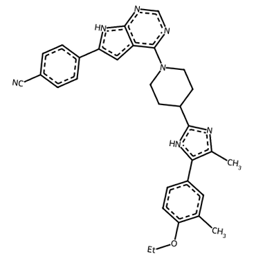 CCOc1ccc(-c2[nH]c(C3CCN(c4ncnc5[nH]c(-c6ccc(C#N)cc6)cc45)CC3)nc2C)cc1C